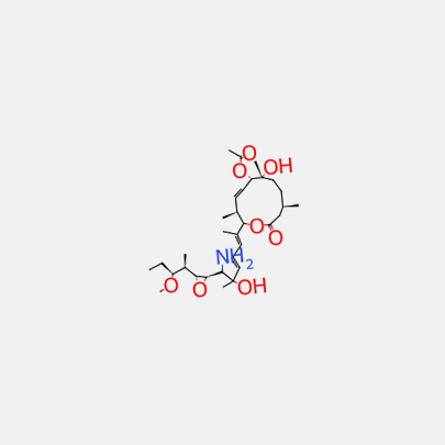 CC[C@H](OC)[C@@H](C)[C@H]1O[C@@H]1C(N)C(C)(O)/C=C/C=C(\C)C1OC(=O)C[C@H](C)CC[C@@](C)(O)[C@@H](OC(C)=O)/C=C/[C@@H]1C